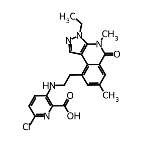 CCn1ncc2c3c(CCNc4ccc(Cl)nc4C(=O)O)cc(C)cc3c(=O)n(C)c21